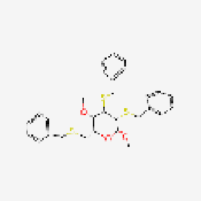 CO[C@H]1O[C@H](CSCc2ccccc2)[C@H](OC)[C@@H](SCc2ccccc2)[C@@H]1SCc1ccccc1